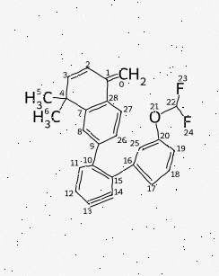 C=C1C=CC(C)(C)c2cc(-c3ccc#cc3-c3cccc(OC(F)F)c3)ccc21